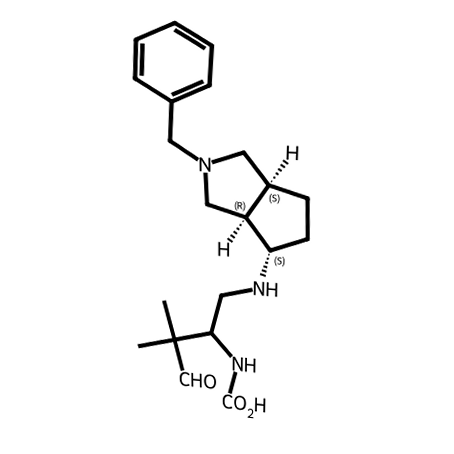 CC(C)(C=O)C(CN[C@H]1CC[C@@H]2CN(Cc3ccccc3)C[C@@H]21)NC(=O)O